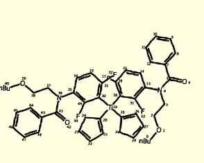 CCCCOCCN(C(=O)c1ccccc1)c1ccc(F)[c]([Ti]([C]2=CC=CC2)([C]2=CC=CC2)[c]2c(F)ccc(N(CCOCCCC)C(=O)c3ccccc3)c2F)c1F